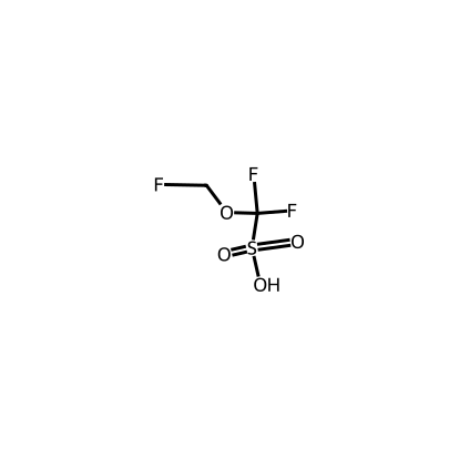 O=S(=O)(O)C(F)(F)OCF